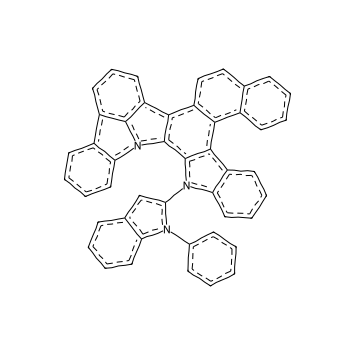 c1ccc(-n2c(-n3c4ccccc4c4c5c6ccccc6ccc5c5c6cccc7c8ccccc8n(c76)c5c43)cc3ccccc32)cc1